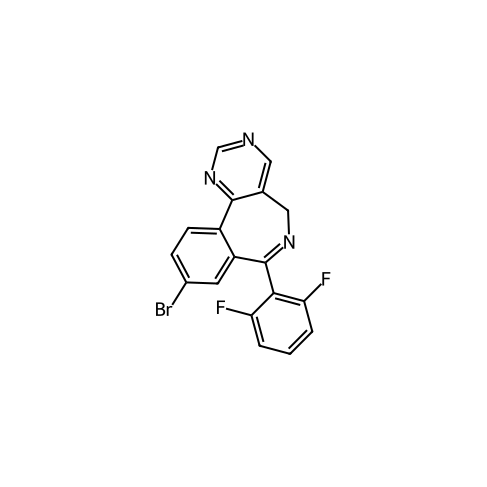 Fc1cccc(F)c1C1=NCc2cncnc2-c2ccc(Br)cc21